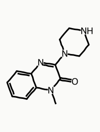 Cn1c(=O)c(N2CCNCC2)nc2ccccc21